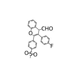 CS(=O)(=O)c1ccc(C2=C(c3ccc(F)cc3)C(C=O)c3ccccc3O2)cc1